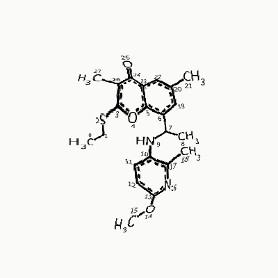 CCSc1oc2c(C(C)Nc3ccc(OC)nc3C)cc(C)cc2c(=O)c1C